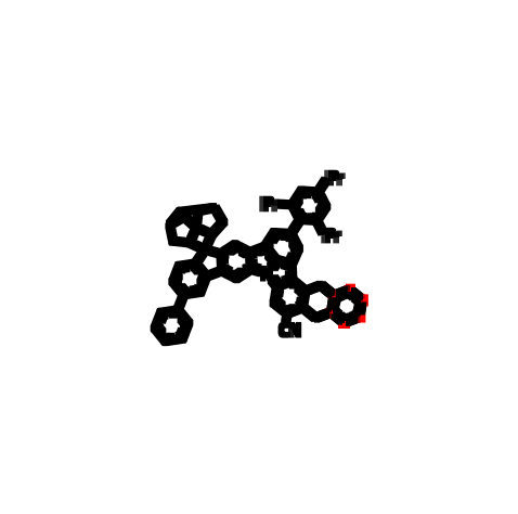 CC(C)c1cc(C(C)C)c(-c2cc3c4cc5c(cc4n4c6cc(C#N)c7c(c6c(c2)c34)C2c3ccccc3C7c3ccccc32)-c2cc(-c3ccccc3)ccc2C52C3CC4CC5CC2C3(C4)C5)c(C(C)C)c1